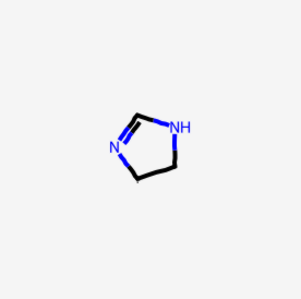 [CH]1CNC=N1